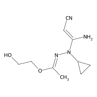 C/C(=N\N(/C(N)=C/C#N)C1CC1)OCCO